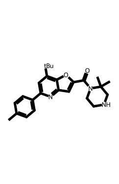 Cc1ccc(-c2cc(C(C)(C)C)c3oc(C(=O)N4CCNCC4(C)C)cc3n2)cc1